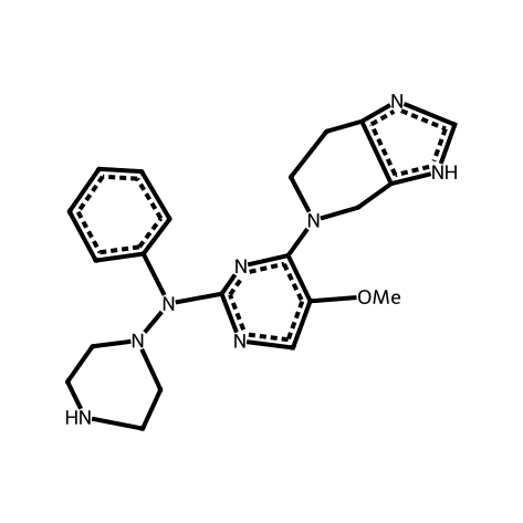 COc1cnc(N(c2ccccc2)N2CCNCC2)nc1N1CCc2nc[nH]c2C1